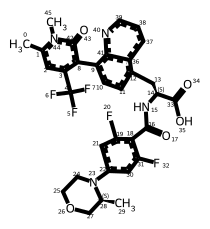 Cc1cc(C(F)(F)F)c(-c2ccc(C[C@H](NC(=O)c3c(F)cc(N4CCOC[C@@H]4C)cc3F)C(=O)O)c3cccnc23)c(=O)n1C